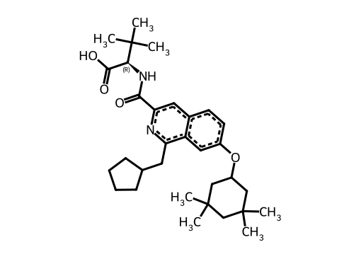 CC1(C)CC(Oc2ccc3cc(C(=O)N[C@@H](C(=O)O)C(C)(C)C)nc(CC4CCCC4)c3c2)CC(C)(C)C1